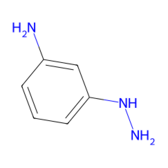 NNc1cccc(N)c1